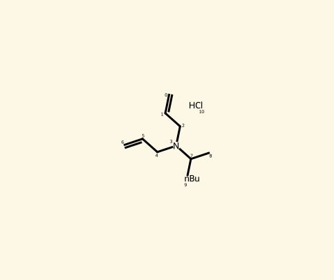 C=CCN(CC=C)C(C)CCCC.Cl